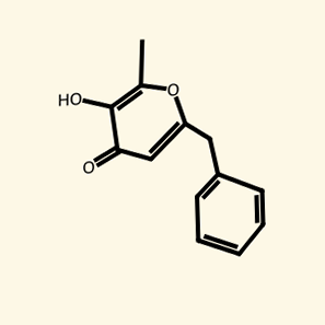 Cc1oc(Cc2ccccc2)cc(=O)c1O